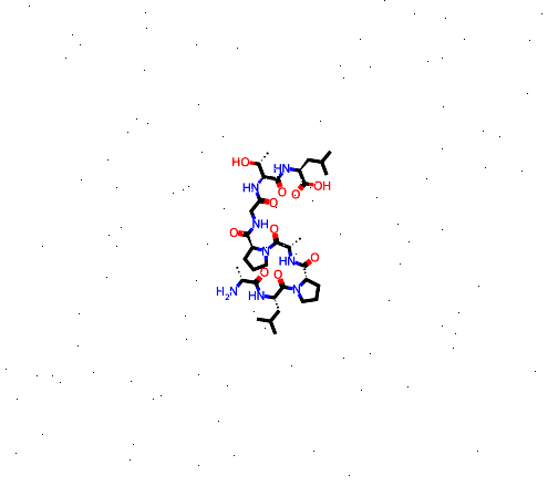 CC(C)C[C@H](NC(=O)[C@@H](NC(=O)CNC(=O)[C@@H]1CCCN1C(=O)[C@H](C)NC(=O)[C@@H]1CCCN1C(=O)[C@H](CC(C)C)NC(=O)[C@@H](C)N)[C@@H](C)O)C(=O)O